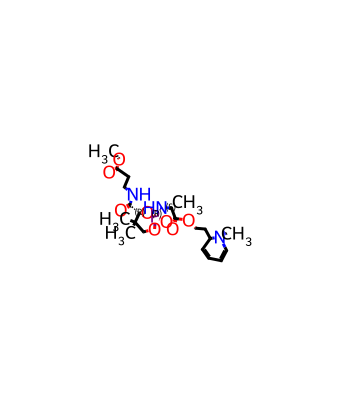 COC(=O)CCNC(=O)[C@@H]1O[P@@](=O)(N[C@@H](C)C(=O)OCCC2C=CC=CN2C)OCC1(C)C